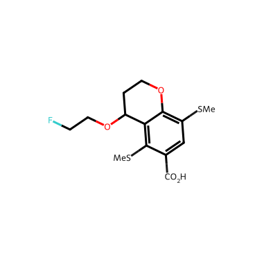 CSc1cc(C(=O)O)c(SC)c2c1OCCC2OCCF